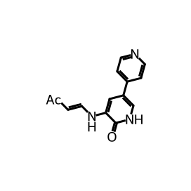 CC(=O)/C=C/Nc1cc(-c2ccncc2)c[nH]c1=O